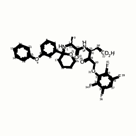 C[C@H](NC1(c2cccc(Oc3ccccc3)c2)CCCCO1)C(=O)N[C@@H](CC(=O)O)C(=O)COc1c(F)c(F)cc(F)c1F